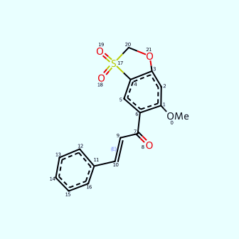 COc1cc2c(cc1C(=O)/C=C/c1ccccc1)S(=O)(=O)CO2